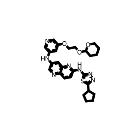 c1ncc(OCCOC2CCCCO2)cc1Nc1cnc2ccc(Nc3nnc(C4CCCC4)s3)nc2c1